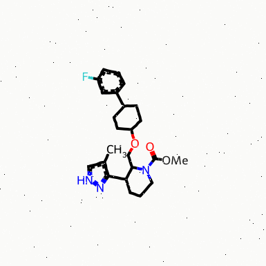 COC(=O)N1CCCC(c2n[nH]cc2C)C1COC1CCC(c2cccc(F)c2)CC1